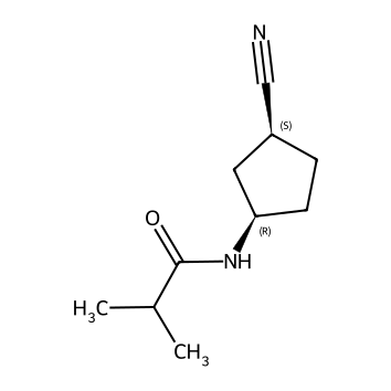 CC(C)C(=O)N[C@@H]1CC[C@H](C#N)C1